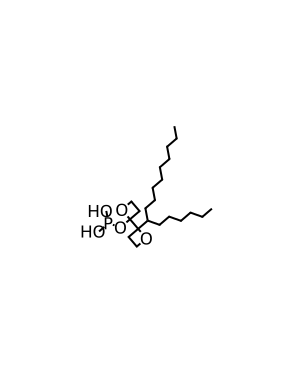 CCCCCCCCCC(CCCCCC)C1(C2(OP(O)O)CCO2)CCO1